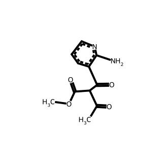 COC(=O)C(C(C)=O)C(=O)c1cccnc1N